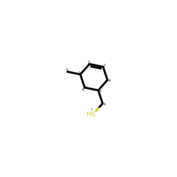 CC1C=CCC(CS)C1